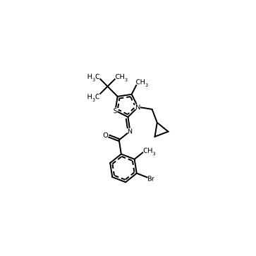 Cc1c(Br)cccc1C(=O)/N=c1\sc(C(C)(C)C)c(C)n1CC1CC1